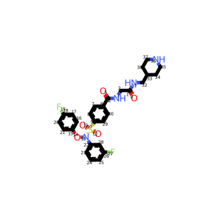 O=C(CNC(=O)c1ccc(S(=O)(=O)N(Oc2ccc(F)cc2)c2cccc(F)c2)cc1)NCC1CCNCC1